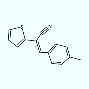 Cc1ccc(/C=C(\C#N)c2cccs2)cc1